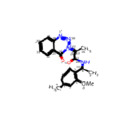 COc1cc(C)ccc1[C@H](C)NC(=O)[C@H](C)n1nnc2ccccc2c1=O